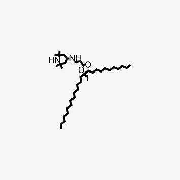 CCCCCCCCCCCCCCC(I)(CCCCCCCCCCC)OC(=O)CCNC1CC(C)(C)NC(C)(C)C1